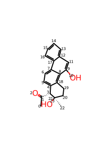 CC(=O)[C@@H]1c2ccc3c(c(O)cc4ccccc43)c2CC[C@@]1(C)O